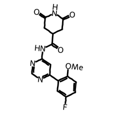 COc1ccc(F)cc1-c1cc(NC(=O)C2CC(=O)NC(=O)C2)ncn1